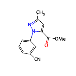 COC(=O)c1cc(C)nn1-c1cccc(C#N)c1